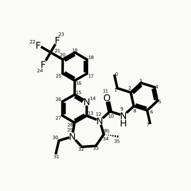 CCc1cccc(C)c1NC(=O)N1c2nc(-c3cccc(C(F)(F)F)c3)ccc2N(CC)CC[C@H]1C